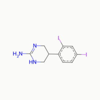 NC1=NCC(c2ccc(I)cc2I)CN1